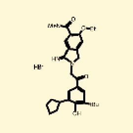 Br.CCOc1cc2c(cc1C(=O)NC)C(=N)N(CC(=O)c1cc(C3CCCC3)c(O)c(C(C)(C)C)c1)C2